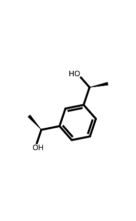 C[C@H](O)c1cccc([C@H](C)O)c1